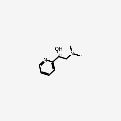 [CH2]N(C)C[C@@H](O)c1ccccn1